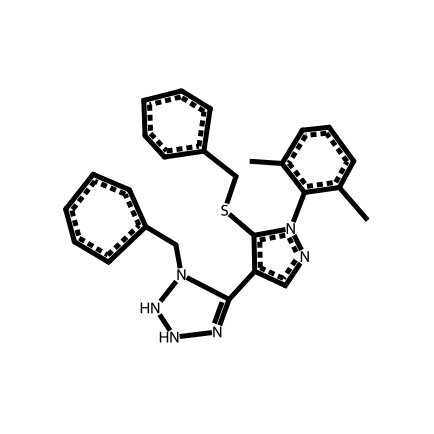 Cc1cccc(C)c1-n1ncc(C2=NNNN2Cc2ccccc2)c1SCc1ccccc1